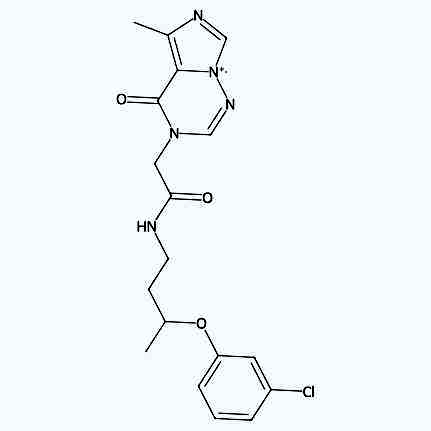 CC1=C2C(=O)N(CC(=O)NCCC(C)Oc3cccc(Cl)c3)C=N[N+]2C=N1